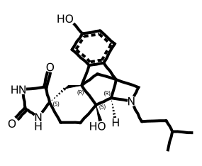 CC(C)CCN1CC23C[C@@]4(C[C@]5(CC[C@@]4(O)[C@H]12)NC(=O)NC5=O)c1cc(O)ccc13